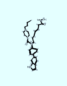 CCCCN1CCN(C(=O)N(CCCCCCC(=O)NO)c2ccc(-c3ccc4cc[nH]c4c3)cc2)CC1